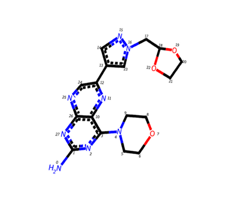 Nc1nc(N2CCOCC2)c2nc(-c3cnn(CC4OCCO4)c3)cnc2n1